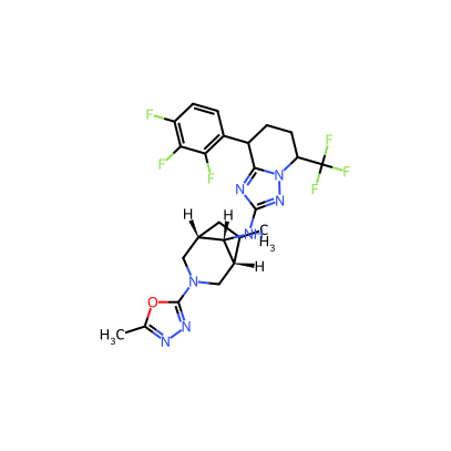 Cc1nnc(N2C[C@@H]3CC(C)[C@H](C2)[C@H]3Nc2nc3n(n2)C(C(F)(F)F)CCC3c2ccc(F)c(F)c2F)o1